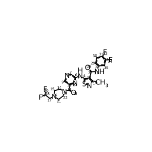 Cc1nsc(Nc2cncc(C(=O)N3CCN(CC(F)F)CC3)n2)c1C(=O)Nc1ccc(F)c(F)c1